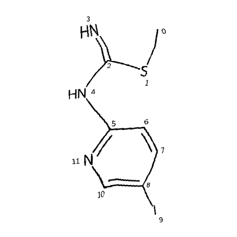 CSC(=N)Nc1ccc(I)cn1